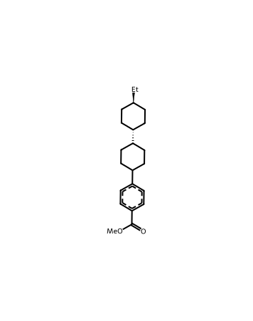 CC[C@H]1CC[C@H](C2CCC(c3ccc(C(=O)OC)cc3)CC2)CC1